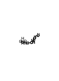 O=C1CC[C@@H](C(=O)Nc2ccc(-c3ccc4ncc(N5CCN(Cc6cccnc6)CC5)nc4c3)cc2)N1